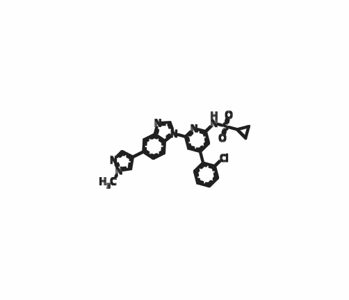 Cn1cc(-c2ccc3c(c2)ncn3-c2cc(-c3ccccc3Cl)cc(NS(=O)(=O)C3CC3)n2)cn1